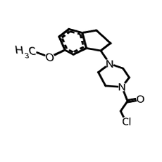 COc1ccc2c(c1)C(N1CCN(C(=O)CCl)CC1)CC2